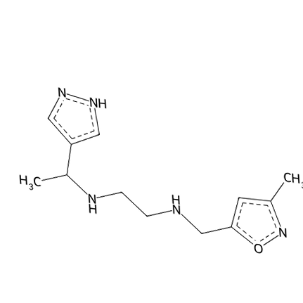 Cc1cc(CNCCNC(C)c2cn[nH]c2)on1